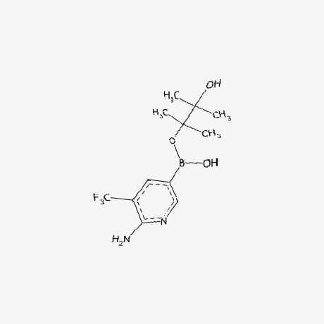 CC(C)(O)C(C)(C)OB(O)c1cnc(N)c(C(F)(F)F)c1